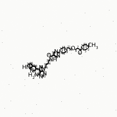 CN1CCN(C(=O)CCOCCN2CCN(c3ncc(C(=O)NCCCCn4nc(-c5cnc6[nH]ccc6c5)c5c(N)ncnc54)cn3)CC2)CC1